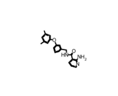 Cc1cc(C)cc(Oc2cccc(CNC(=O)c3cccnc3N)c2)c1